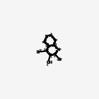 Oc1c(Br)nc2ccccc2c1Br